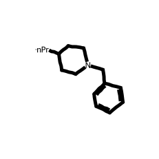 CC[CH]C1CCN(Cc2ccccc2)CC1